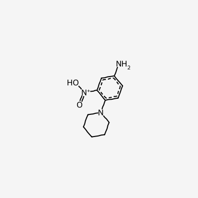 Nc1ccc(N2CCCCC2)c([N+](=O)O)c1